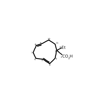 CCC1(C(=O)O)C/C=C/CC/C=C/CC1